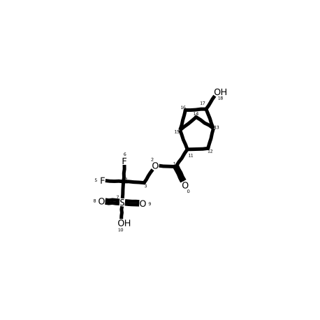 O=C(OCC(F)(F)S(=O)(=O)O)C1CC2CC1CC2O